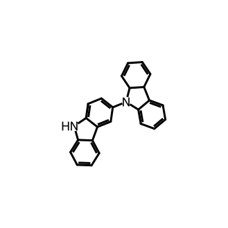 C1=CC2c3ccccc3N(c3ccc4[nH]c5ccccc5c4c3)C2C=C1